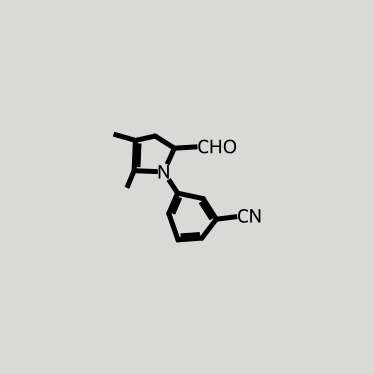 CC1=C(C)N(c2cccc(C#N)c2)C(C=O)C1